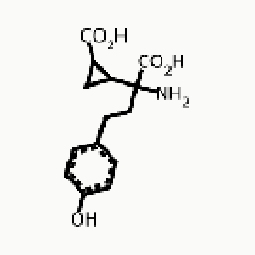 NC(CCc1ccc(O)cc1)(C(=O)O)C1CC1C(=O)O